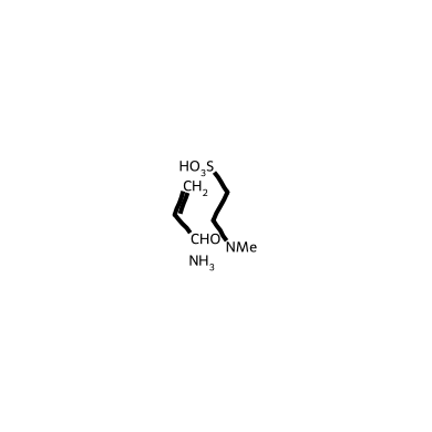 C=CC=O.CNCCS(=O)(=O)O.N